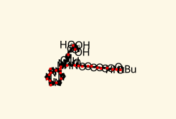 CC(C)(C)OC(=O)NCCOCCOCCOCCOCCOCCOCCC(=O)NCCCC[C@@H](C(=O)Nc1ccc(CCO[C@@H]2O[C@H](CO)[C@@H](O)C[C@H]2O)cc1)n1cc(-c2cc3nc(c2)c2cccc(n2)c2cccc(n2)c2cccc(n2)c2cccc(n2)c2cccc3n2)nn1